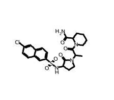 CC(C(=O)N1CCCCC1C(N)=O)N1CCC(NS(=O)(=O)c2ccc3cc(Cl)ccc3c2)C1=O